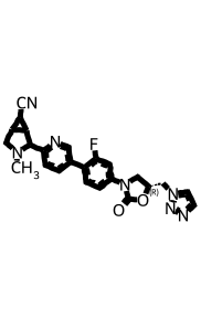 CN1CC2C(C#N)C2C1c1ccc(-c2ccc(N3C[C@H](Cn4ccnn4)OC3=O)cc2F)cn1